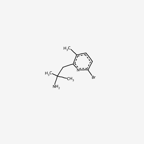 Cc1ccc(Br)nc1CC(C)(C)N